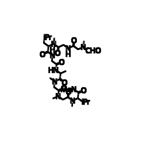 CNC(=O)C(C(C)C)N(C)C(=O)CN(C)C(=O)CN(C)C(=O)C(C)NC(=O)CNC(=O)C(CC(C)C)N(C)C(=O)CNC(=O)CN(C)C=O